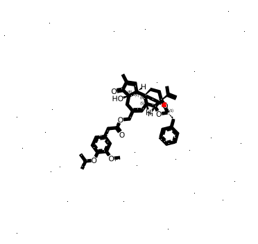 C=C(C)[C@]12CC[C@@]34O[C@](Cc5ccccc5)(O[C@@H]1[C@@H]3C=C(COC(=O)Cc1ccc(OC(C)C)c(OC)c1)C[C@]1(O)C(=O)C(C)=C[C@@H]41)O2